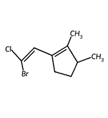 CC1=C(/C=C(/Cl)Br)CCC1C